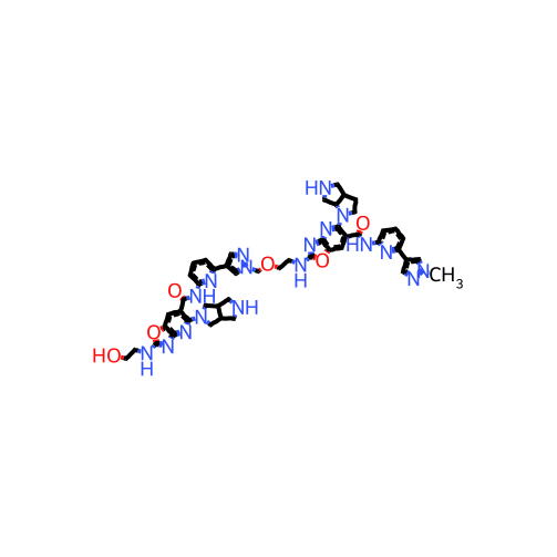 Cn1cc(-c2cccc(NC(=O)c3cc4oc(NCCOCn5cc(-c6cccc(NC(=O)c7cc8oc(NCCO)nc8nc7N7CC8CNCC8C7)n6)cn5)nc4nc3N3CCC4CNCC43)n2)cn1